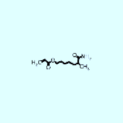 C=CC(=O)OCCCCCC(C)C(N)=O